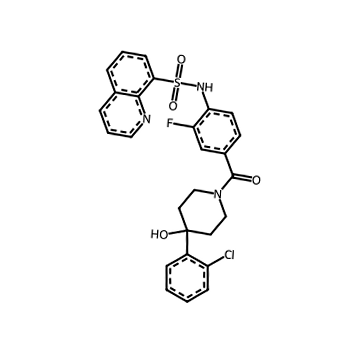 O=C(c1ccc(NS(=O)(=O)c2cccc3cccnc23)c(F)c1)N1CCC(O)(c2ccccc2Cl)CC1